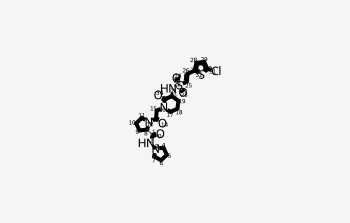 O=C(NN1CCCC1)[C@@H]1CCCN1C(=O)CN1CCC[C@H](NS(=O)(=O)/C=C/c2ccc(Cl)s2)C1=O